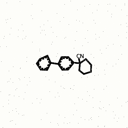 N#CC1(c2ccc(-c3ccccc3)cc2)CCCCC1